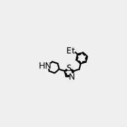 CCc1cccc(Cc2ncc(C3CCNCC3)s2)c1